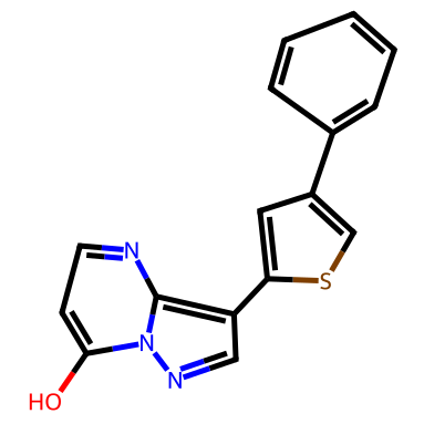 Oc1ccnc2c(-c3cc(-c4ccccc4)cs3)cnn12